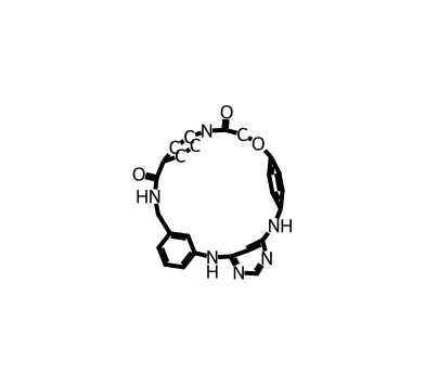 O=C1NCc2cccc(c2)Nc2cc(ncn2)Nc2ccc(cc2)OCC(=O)N2CCC1CC2